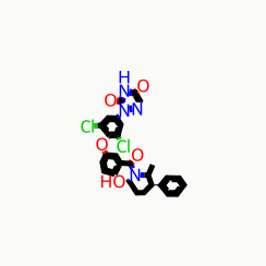 CC1[C@H](c2ccccc2)CCCN1C(=O)c1cc(Oc2c(Cl)cc(-n3ncc(=O)[nH]c3=O)cc2Cl)ccc1O